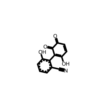 N#Cc1cccc(O)c1C1=C(O)C=CC(=O)C1=O